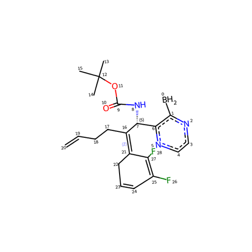 Bc1nccnc1[C@@H](NC(=O)OC(C)(C)C)/C(CCC=C)=C1/CC=CC(F)=C1F